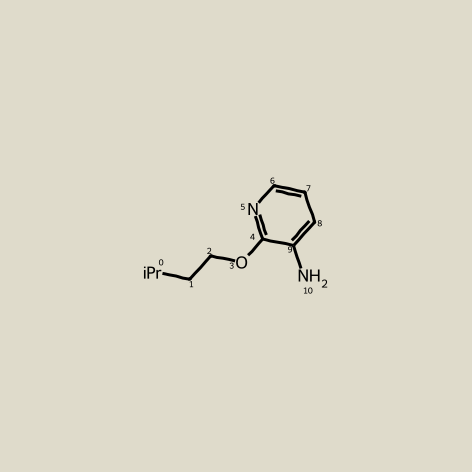 CC(C)CCOc1ncccc1N